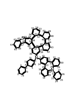 c1ccc(-c2ccc(N(c3ccc4c(c3)-c3ccccc3N(c3ccccc3)c3ccccc3-4)c3ccc4c(c3)c3ccccc3c3ccccc3c3ccccc3c3cc5sc6ccccc6c5cc43)cc2)cc1